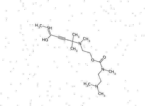 C[SH]=C(O)C#CC(C)(C)N(C)CCOC(=O)N(C)CCN(C)C